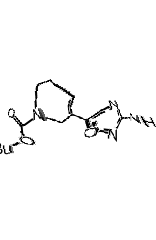 CC(C)(C)OC(=O)N1CCC=C(c2nc(N)no2)C1